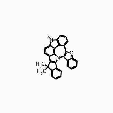 CC1(C)c2ccccc2-c2c1c1ccc3c4c5c(cccc5n3I)c3oc5ccccc5c3n2c14